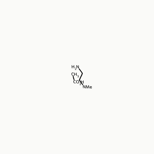 CC(=O)O.CNCCN